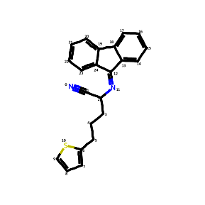 N#CC(CCCc1cccs1)N=C1c2ccccc2-c2ccccc21